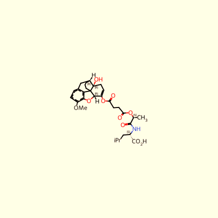 COc1ccc2c3c1O[C@H]1C(OC(=O)CCC(=O)O[C@@H](C)C(=O)N[C@@H](CC(C)C)C(=O)O)=CC[C@@]4(O)[C@H](CCCC314)C2